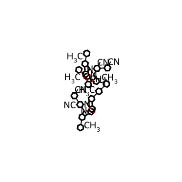 Cc1ccccc1-c1ccc2c(c1)c1ccccc1n2-c1cc(C#N)c(-c2cccc(C#N)c2)cc1-n1c2ccccc2c2cc(-c3ccc(-c4cccc(C)c4-c4ccc5c6ccc(-c7ccccc7C)cc6n(-c6cc(-c7cccc(C#N)c7)c(C#N)cc6-n6c7cc(-c8ccccc8C)ccc7c7ccc(-c8ccccc8C)cc76)c5c4)cc3C)ccc21